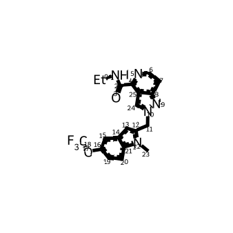 CCNC(=O)c1nccc2nn(Cc3cc4cc(OC(F)(F)F)ccc4n3C)cc12